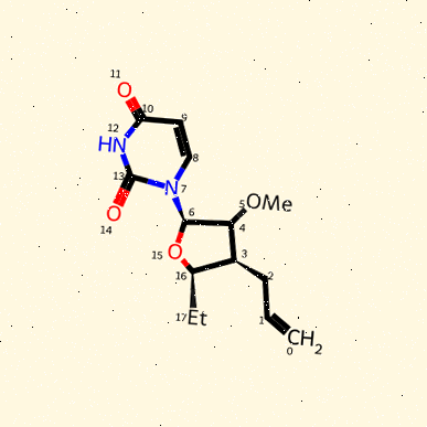 C=CC[C@@H]1C(OC)[C@H](n2ccc(=O)[nH]c2=O)O[C@@H]1CC